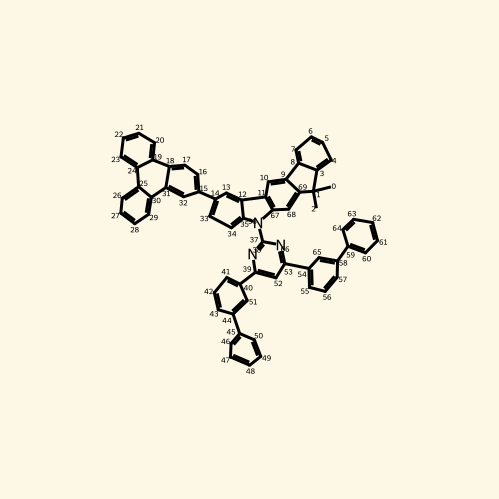 CC1(C)c2ccccc2-c2cc3c4cc(-c5ccc6c7ccccc7c7ccccc7c6c5)ccc4n(-c4nc(-c5cccc(-c6ccccc6)c5)cc(-c5cccc(-c6ccccc6)c5)n4)c3cc21